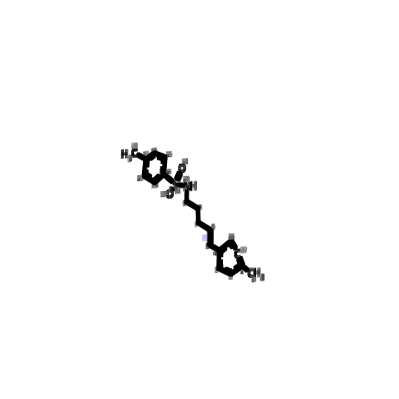 Cc1ccc(/C=C/CCCNS(=O)(=O)c2ccc(C)cc2)cc1